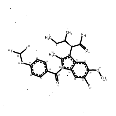 CCC(C)[C@@H](C(=O)O)c1c(C)n(C(=O)c2ccc(OC(F)F)cc2)c2cc(F)c(OC)cc12